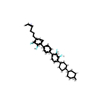 C/C=C\CCCc1ccc(-c2ccc(-c3ccc(C4CCC(C5CCC(C)CC5)CC4)c(F)c3F)cc2)c(F)c1F